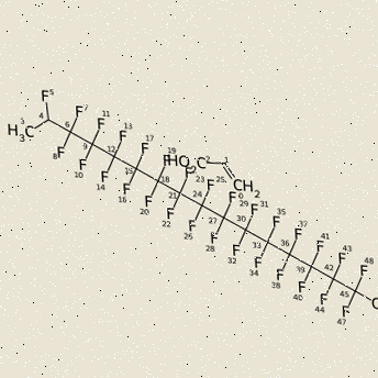 C=CC(=O)O.CC(F)C(F)(F)C(F)(F)C(F)(F)C(F)(F)C(F)(F)C(F)(F)C(F)(F)C(F)(F)C(F)(F)C(F)(F)C(F)(F)C(F)(F)C(F)(F)C(O)(F)F